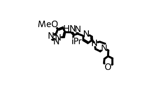 COc1cc(-c2[nH]nc(-c3ccc(N4CCN(CC5CCOCC5)CC4)cn3)c2C(C)C)cn2ncnc12